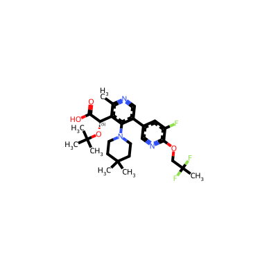 Cc1ncc(-c2cnc(OCC(C)(F)F)c(F)c2)c(N2CCC(C)(C)CC2)c1[C@H](OC(C)(C)C)C(=O)O